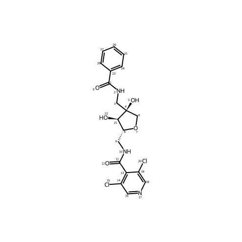 O=C(NC[C@]1(O)CO[C@H](CNC(=O)c2c(Cl)cncc2Cl)[C@H]1O)c1ccccc1